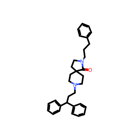 O=C1N(CCCc2ccccc2)CCC12CCN(CCC(c1ccccc1)c1ccccc1)CC2